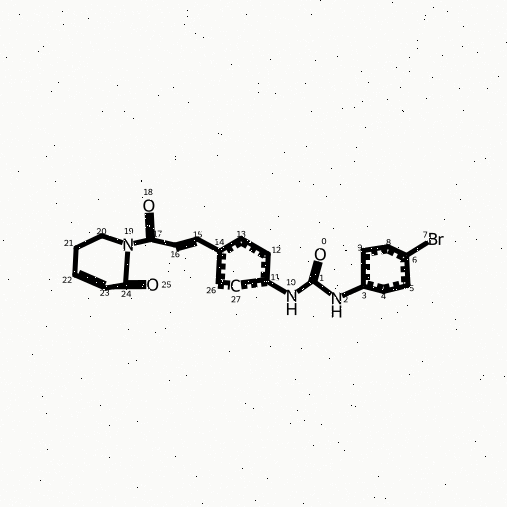 O=C(Nc1ccc(Br)cc1)Nc1ccc(/C=C/C(=O)N2CCC=CC2=O)cc1